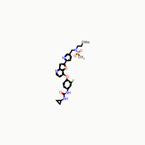 COCCN(Cc1ccc(-c2cc3nccc(Oc4ccc(NC(=O)NC5CC5)cc4F)c3s2)nc1)S(C)(=O)=O